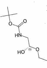 CCO[C@H](O)CNC(=O)OC(C)(C)C